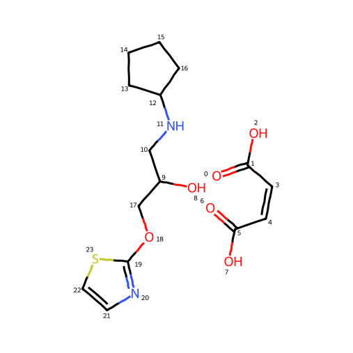 O=C(O)/C=C\C(=O)O.OC(CNC1CCCC1)COc1nccs1